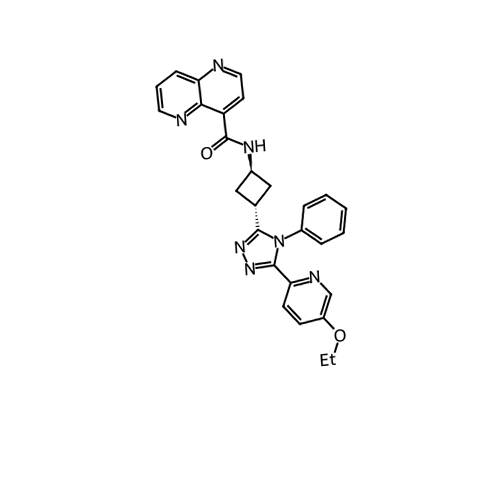 CCOc1ccc(-c2nnc([C@H]3C[C@H](NC(=O)c4ccnc5cccnc45)C3)n2-c2ccccc2)nc1